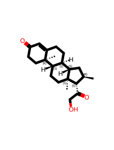 C[C@@H]1C[C@H]2[C@@H]3CCC4=CC(=O)CC[C@]4(C)[C@H]3CC[C@]2(C)[C@H]1C(=O)CO